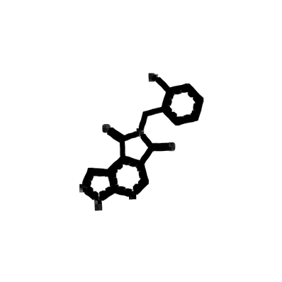 O=C1c2cnc3[nH]ncc3c2C(=O)N1Cc1ccccc1Br